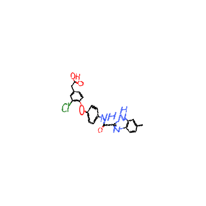 Cc1ccc2nc(C(=O)Nc3ccc(Oc4ccc(CC(=O)O)cc4Cl)cc3)[nH]c2c1